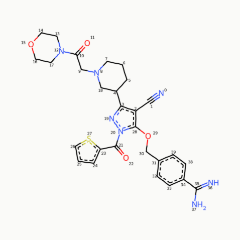 N#Cc1c(C2CCCN(CC(=O)N3CCOCC3)C2)nn(C(=O)c2cccs2)c1OCc1ccc(C(=N)N)cc1